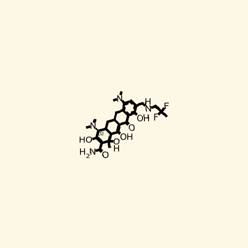 CN(C)c1cc(CNCC(C)(F)F)c(O)c2c1CC1CC3C(C(O)=C1C2=O)C(C)(O)C(C(N)=O)=C(O)[C@H]3N(C)C